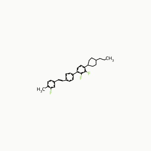 CCCC1CCC(c2ccc(-c3ccc(/C=C/c4ccc(C)c(F)c4)cc3)c(F)c2F)CC1